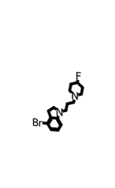 FC1CCN(CCCN2CCc3c(Br)cccc32)CC1